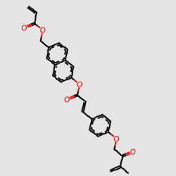 C=CC(=O)OCc1ccc2cc(OC(=O)/C=C/c3ccc(OCC(=O)C(=C)C)cc3)ccc2c1